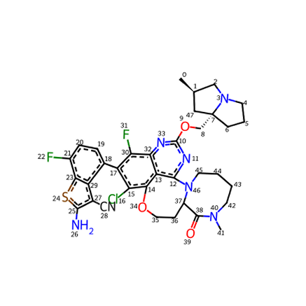 C[C@H]1CN2CCC[C@@]2(COc2nc3c4c(c(Cl)c(-c5ccc(F)c6sc(N)c(C#N)c56)c(F)c4n2)OCCC2C(=O)N(C)CCCCN32)C1